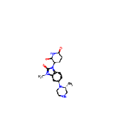 C[C@@H]1CNCCN1c1ccc2c(c1)n(C)c(=O)n2C1CCC(=O)NC1=O